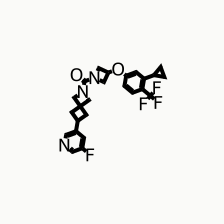 O=C(N1CC(Oc2ccc(C(F)(F)F)c(C3CC3)c2)C1)N1CC2(CC(c3cncc(F)c3)C2)C1